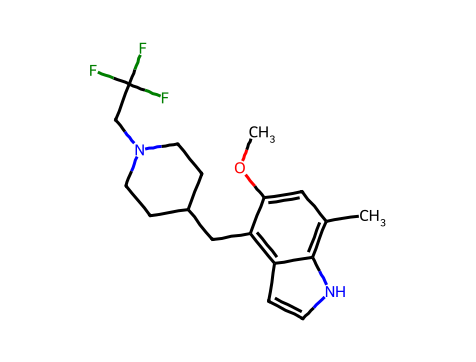 COc1cc(C)c2[nH]ccc2c1CC1CCN(CC(F)(F)F)CC1